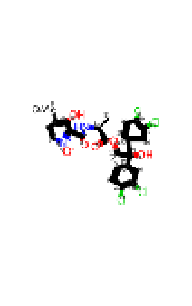 COc1cc[n+]([O-])c(C(=O)N[C@@H](C)C(=O)O[C@@H](C)C(O)(c2ccc(Cl)c(Cl)c2)c2ccc(Cl)c(Cl)c2)c1O